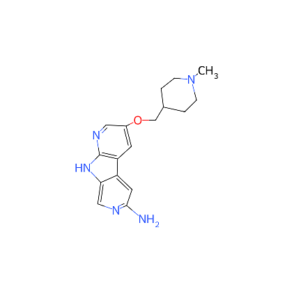 CN1CCC(COc2cnc3[nH]c4cnc(N)cc4c3c2)CC1